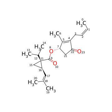 C/C=C\CC1=C(C)[C@@H](OC(=O)[C@@]2(C(C)C)C[C@@H]2C=C(C)C)CC1=O